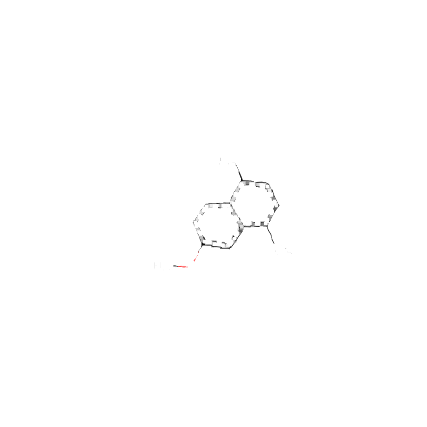 COc1ccc2c(C)ccc(C)c2c1